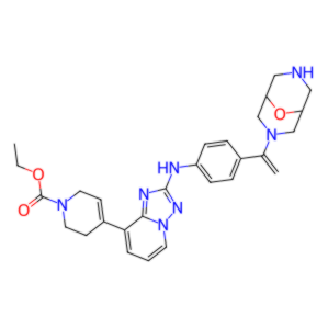 C=C(c1ccc(Nc2nc3c(C4=CCN(C(=O)OCC)CC4)cccn3n2)cc1)N1CC2CNCC(C1)O2